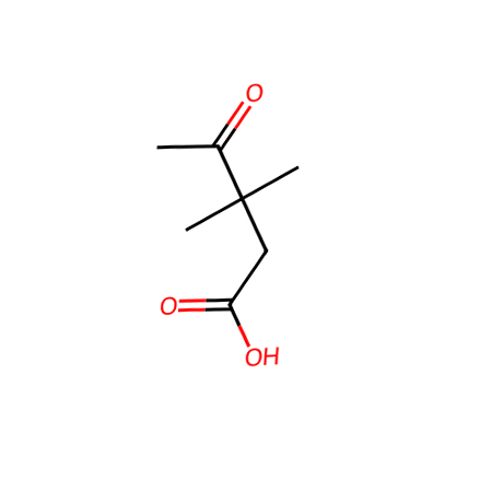 CC(=O)C(C)(C)CC(=O)O